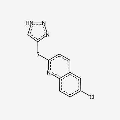 Clc1ccc2nc(Sc3c[nH]nn3)ccc2c1